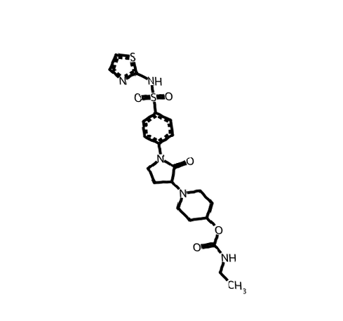 CCNC(=O)OC1CCN(C2CCN(c3ccc(S(=O)(=O)Nc4nccs4)cc3)C2=O)CC1